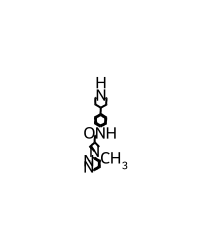 Cc1ccnnc1N1CC(C(=O)Nc2ccc(C3CCNCC3)cc2)C1